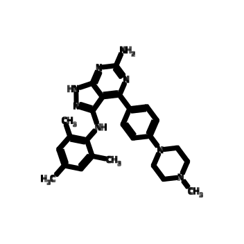 Cc1cc(C)c(Nc2n[nH]c3nc(N)nc(-c4ccc(N5CCN(C)CC5)cc4)c23)c(C)c1